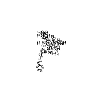 CC(C)C[C@H](NC(=O)[C@@H]1C[C@H](OCCCCc2ccccc2)CN1C)C(=O)N[C@@H](Cc1cnc[nH]1)C(=O)N[C@@H](CO)C(=O)N[C@H](C(N)=O)[C@@H](C)OP(=O)(O)O